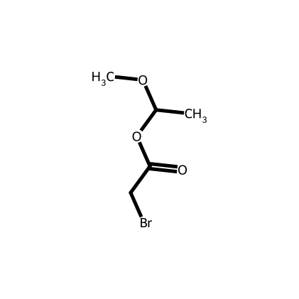 COC(C)OC(=O)CBr